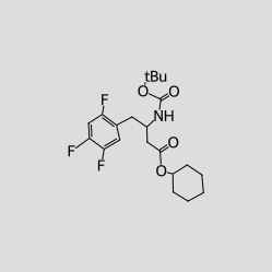 CC(C)(C)OC(=O)NC(CC(=O)OC1CCCCC1)Cc1cc(F)c(F)cc1F